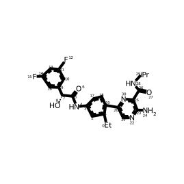 CCc1cc(NC(=O)[C@H](O)c2cc(F)cc(F)c2)ccc1-c1cnc(N)c(C(=O)NC(C)C)n1